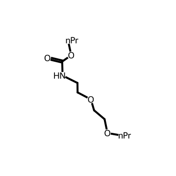 CCCOCCOCCNC(=O)OCCC